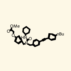 CCCCc1ccc(C#Cc2ccc(CN(Cc3ccc(OCC(=O)OC)cc3)C(=O)NC3CCCCC3)cc2)cc1